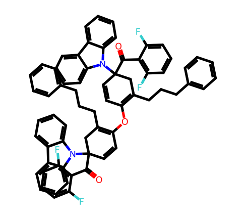 O=C(c1c(F)cccc1F)C1(n2c3ccccc3c3ccccc32)C=CC(OC2=C(CCCc3ccccc3)CC(C(=O)c3c(F)cccc3F)(n3c4ccccc4c4ccccc43)C=C2)=C(CCCc2ccccc2)C1